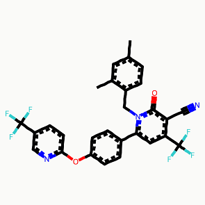 Cc1ccc(Cn2c(-c3ccc(Oc4ccc(C(F)(F)F)cn4)cc3)cc(C(F)(F)F)c(C#N)c2=O)c(C)c1